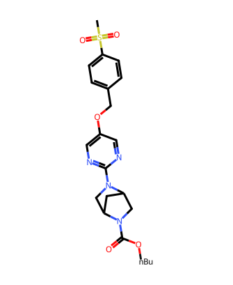 CCCCOC(=O)N1CC2CC1CN2c1ncc(OCc2ccc(S(C)(=O)=O)cc2)cn1